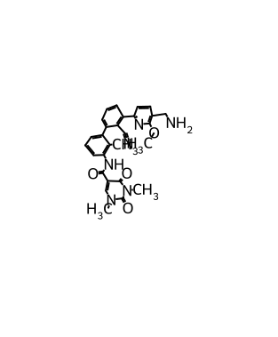 COc1nc(-c2cccc(-c3cccc(NC(=O)c4cn(C)c(=O)n(C)c4=O)c3C)c2C#N)ccc1CN